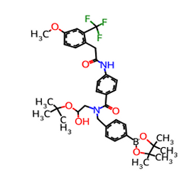 COc1ccc(CC(=O)Nc2ccc(C(=O)N(Cc3ccc(B4OC(C)(C)C(C)(C)O4)cc3)CC(O)OC(C)(C)C)cc2)c(C(F)(F)F)c1